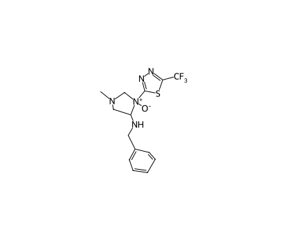 CN1CC(NCc2ccccc2)[N+]([O-])(c2nnc(C(F)(F)F)s2)C1